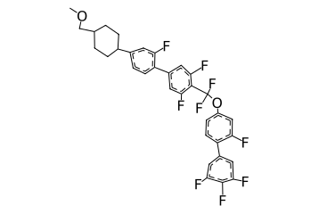 COCC1CCC(c2ccc(-c3cc(F)c(C(F)(F)Oc4ccc(-c5cc(F)c(F)c(F)c5)c(F)c4)c(F)c3)c(F)c2)CC1